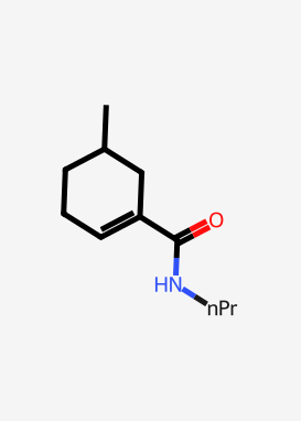 CCCNC(=O)C1=CCCC(C)C1